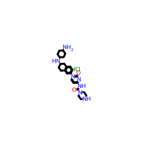 Cl.N[C@H]1CC[C@@H](NC2CCc3cc(-n4ccc(NC(=O)N5CCNCC5)nc4=O)ccc3C2)CC1